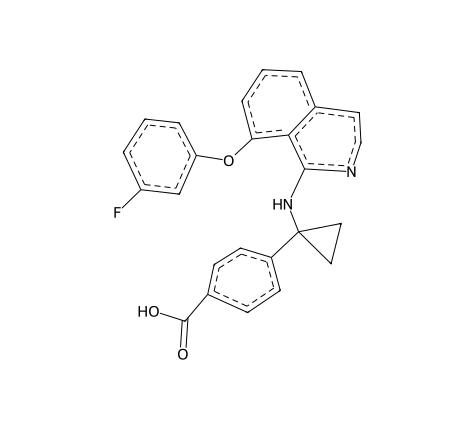 O=C(O)c1ccc(C2(Nc3nccc4cccc(Oc5cccc(F)c5)c34)CC2)cc1